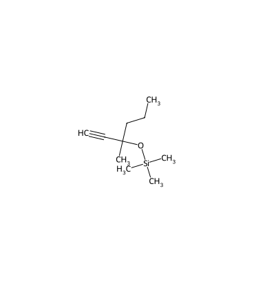 C#CC(C)(CCC)O[Si](C)(C)C